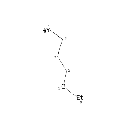 CCOCCC[C](C)C